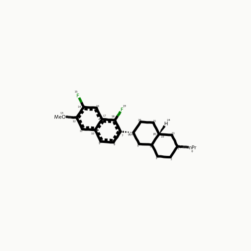 CCCC1CCC2C[C@H](c3ccc4cc(OC)c(F)cc4c3F)CC[C@@H]2C1